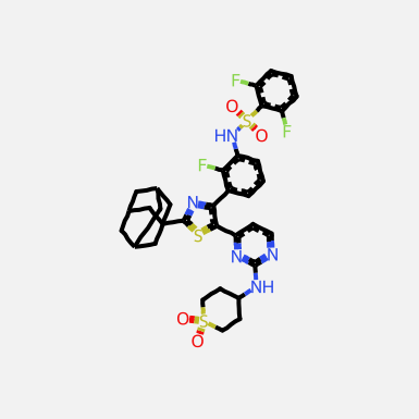 O=S1(=O)CCC(Nc2nccc(-c3sc(C45CC6CC(CC(C6)C4)C5)nc3-c3cccc(NS(=O)(=O)c4c(F)cccc4F)c3F)n2)CC1